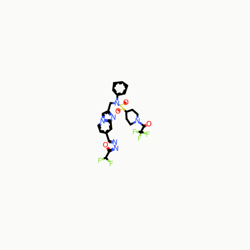 O=C(N1CCC(S(=O)(=O)N(Cc2cn3ccc(-c4nnc(C(F)F)o4)cc3n2)c2ccccc2)CC1)C(F)(F)F